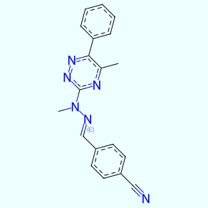 Cc1nc(N(C)/N=C/c2ccc(C#N)cc2)nnc1-c1ccccc1